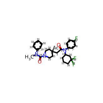 CC(=O)C1(CC(=O)N(c2ccc(F)cc2)C2CCCC(F)(F)C2)CCN(C(=O)N(C)c2ccccc2)CC1